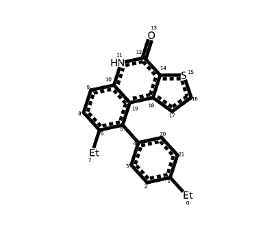 CCc1ccc(-c2c(CC)ccc3[nH]c(=O)c4sccc4c23)cc1